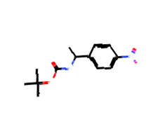 CC(NC(=O)OC(C)(C)C)c1ccc([N+](=O)[O-])cc1